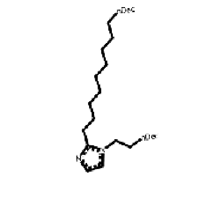 CCCCCCCCCCCCCCCCCCCc1nccn1CCCCCCCCCCCC